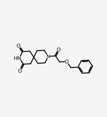 O=C1CC2(CCN(C(=O)COCc3ccccc3)CC2)CC(=O)N1